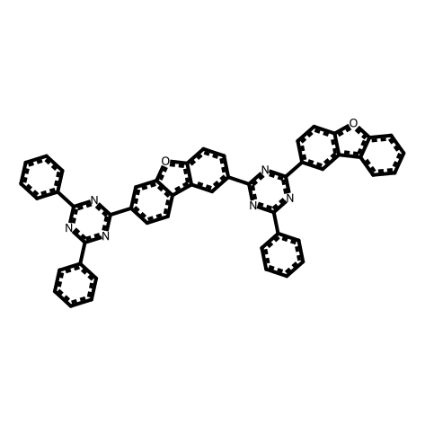 c1ccc(-c2nc(-c3ccccc3)nc(-c3ccc4c(c3)oc3ccc(-c5nc(-c6ccccc6)nc(-c6ccc7oc8ccccc8c7c6)n5)cc34)n2)cc1